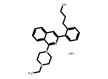 CCN1CCN(c2nc(-c3ccccc3CCCO)cc3ccccc23)CC1.Cl